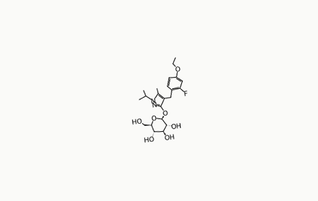 CCOc1ccc(Cc2c(O[C@@H]3O[C@H](CO)[C@@H](O)[C@H](O)[C@H]3O)nn(C(C)C)c2C)c(F)c1